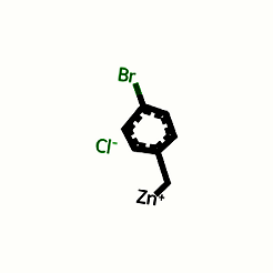 [Cl-].[Zn+][CH2]c1ccc(Br)cc1